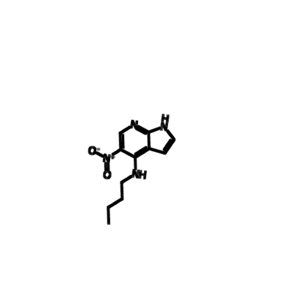 CCCCNc1c([N+](=O)[O-])cnc2[nH]ccc12